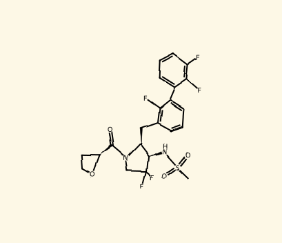 CS(=O)(=O)N[C@@H]1[C@H](Cc2cccc(-c3cccc(F)c3F)c2F)N(C(=O)[C@@H]2CCO2)CC1(F)F